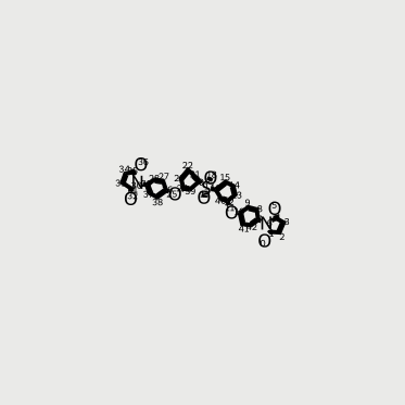 O=C1C=CC(=O)N1c1ccc(Oc2cccc(S(=O)(=O)c3cccc(Oc4ccc(N5C(=O)C=CC5=O)cc4)c3)c2)cc1